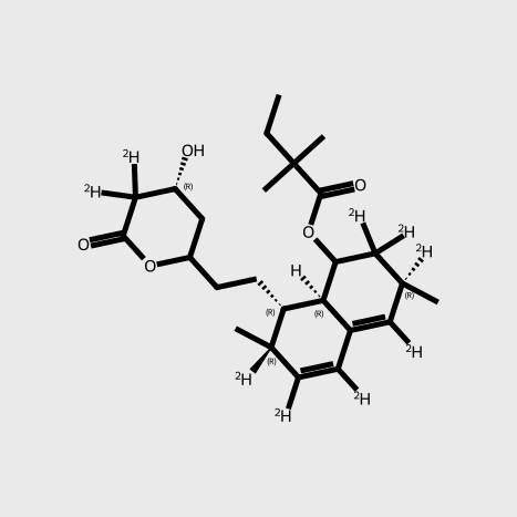 [2H]C1=C([2H])[C@]([2H])(C)[C@H](CCC2C[C@@H](O)C([2H])([2H])C(=O)O2)[C@@H]2C1=C([2H])[C@]([2H])(C)C([2H])([2H])C2OC(=O)C(C)(C)CC